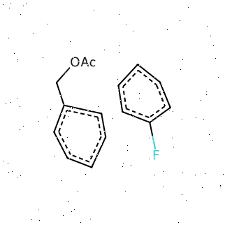 CC(=O)OCc1ccccc1.Fc1ccccc1